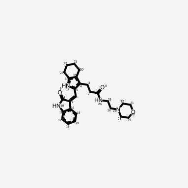 O=C(CCc1c(/C=C2\C(=O)Nc3ccccc32)[nH]c2c1CCCC2)NCCN1CCOCC1